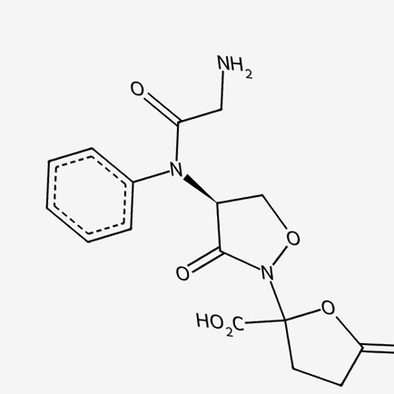 NCC(=O)N(c1ccccc1)[C@H]1CON(C2(C(=O)O)CCC(=O)O2)C1=O